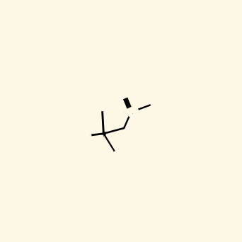 CC(C)(O)C[N+](=O)[O-]